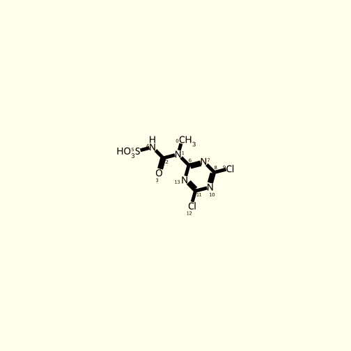 CN(C(=O)NS(=O)(=O)O)c1nc(Cl)nc(Cl)n1